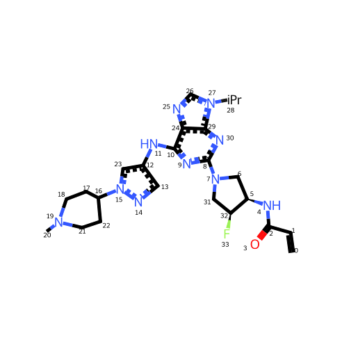 C=CC(=O)N[C@@H]1CN(c2nc(Nc3cnn(C4CCN(C)CC4)c3)c3ncn(C(C)C)c3n2)C[C@@H]1F